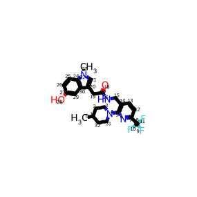 CC1CCN(c2nc(C(F)(F)F)ccc2CNC(=O)Cc2cn(C)c3ccc(O)cc23)CC1